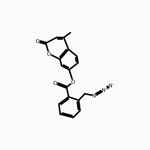 Cc1cc(=O)oc2cc(OC(=O)c3ccccc3CN=[N+]=[N-])ccc12